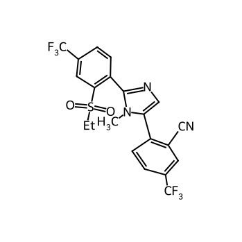 CCS(=O)(=O)c1cc(C(F)(F)F)ccc1-c1ncc(-c2ccc(C(F)(F)F)cc2C#N)n1C